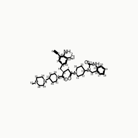 C#Cc1cc(C[C@@H](CC(=O)N2CCC(N3Cc4ccccc4NC3=O)CC2)C(=O)N2CCC(N3CCN(C)CC3)CC2)cc(Cl)c1N